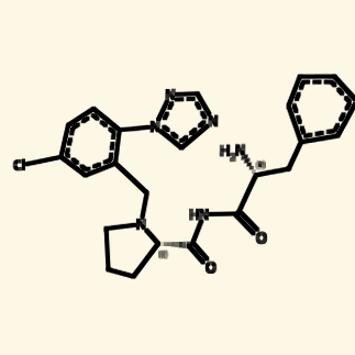 N[C@H](Cc1ccccc1)C(=O)NC(=O)[C@@H]1CCCN1Cc1cc(Cl)ccc1-n1cncn1